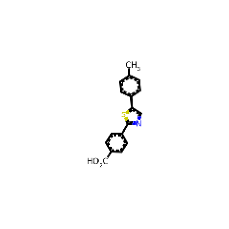 Cc1ccc(-c2cnc(-c3ccc(C(=O)O)cc3)s2)cc1